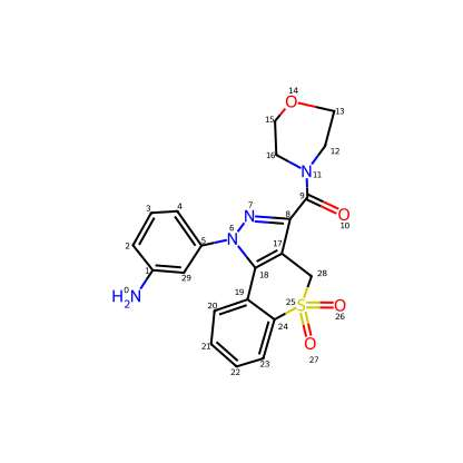 Nc1cccc(-n2nc(C(=O)N3CCOCC3)c3c2-c2ccccc2S(=O)(=O)C3)c1